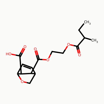 CCC(C)C(=O)OCCOC(=O)C1C2C=CC(OC2)C1C(=O)O